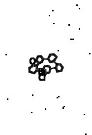 Clc1cccc(-c2ccccc2-c2cccc(-c3ccc4oc5cccc(Br)c5c4c3)c2)c1